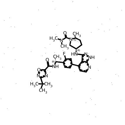 C[C@@H](NC(=O)c1nc(C(C)(C)C)no1)c1ccc(-c2ccnc3[nH]nc(N[C@@H]4CC[C@H](C)N(C(=O)N(C)C)C4)c23)cc1F